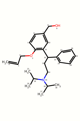 C=CCOc1ccc(CO)cc1C(CCN(C(C)C)C(C)C)c1ccccc1